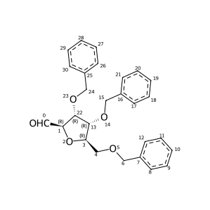 O=C[C@@H]1O[C@H](COCc2ccccc2)[C@@H](OCc2ccccc2)[C@H]1OCc1ccccc1